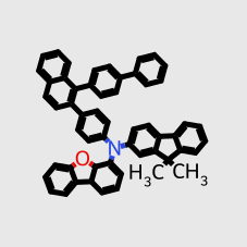 CC1(C)c2ccccc2-c2ccc(N(C3=CC=CC4c5ccccc5OC34)c3ccc(-c4ccc5ccccc5c4-c4ccc(-c5ccccc5)cc4)cc3)cc21